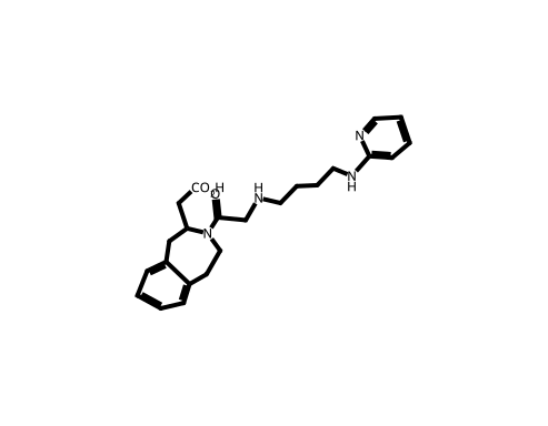 O=C(O)CC1Cc2ccccc2CCN1C(=O)CNCCCCNc1ccccn1